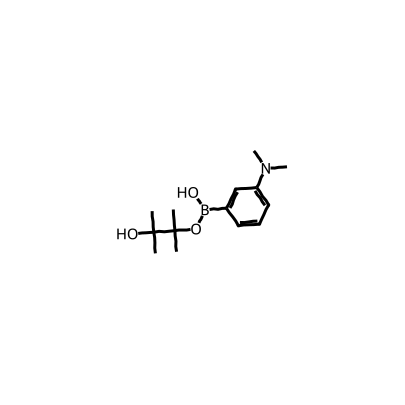 CN(C)c1cccc(B(O)OC(C)(C)C(C)(C)O)c1